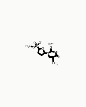 COP(=O)([O-])C1CCC(n2cc(C)c(=O)[nH]c2=O)O1.[Na+]